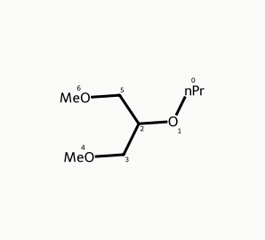 CCCOC(COC)COC